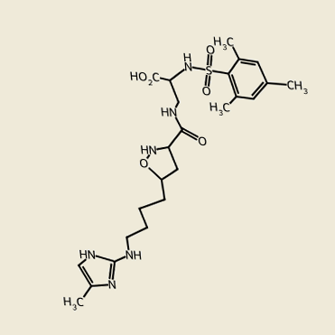 Cc1cc(C)c(S(=O)(=O)NC(CNC(=O)C2CC(CCCCNc3nc(C)c[nH]3)ON2)C(=O)O)c(C)c1